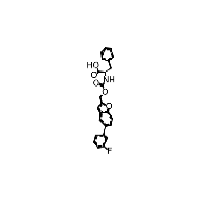 O=C(N[C@H](Cc1ccccc1)C(=O)O)OCc1cc2cc(-c3cccc(F)c3)ccc2o1